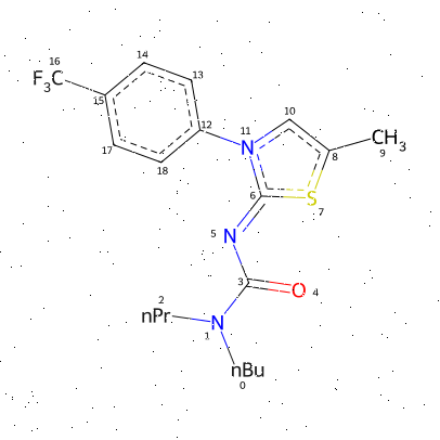 CCCCN(CCC)C(=O)N=c1sc(C)cn1-c1ccc(C(F)(F)F)cc1